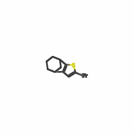 CC(C)c1cc2c(s1)C1CCCC2C1